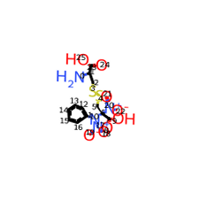 NC(CSSC[C@@](C(=O)O)(N(c1ccccc1)[N+](=O)[O-])[N+](=O)[O-])C(=O)O